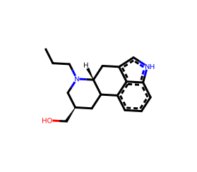 CCCN1C[C@H](CO)CC2c3cccc4[nH]cc(c34)C[C@H]21